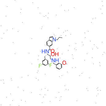 CCCn1ccc2ccc(C(=O)N[C@@H](Cc3cc(F)cc(F)c3)[C@H](O)CNCc3cccc(OC)c3)cc21